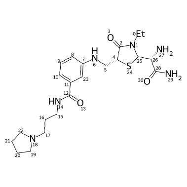 CCN1C(=O)[C@@H](CNc2cccc(C(=O)NCCCN3CCCC3)c2)SC1[C@H](N)C(N)=O